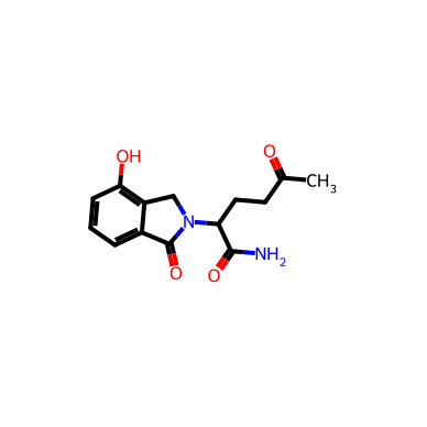 CC(=O)CCC(C(N)=O)N1Cc2c(O)cccc2C1=O